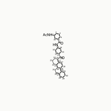 CC(=O)Nc1cccc(C(=O)Nc2ccc(C(=O)C3=c4ccc5c(c4CCC3)CC=c3ccccc3=5)cc2)c1